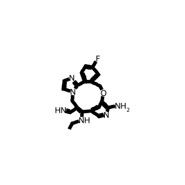 CCN/C1=C(\C=N)Cn2ccnc2-c2ccc(F)cc2COc2cc1cnc2N